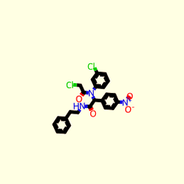 O=C(NCCc1ccccc1)C(c1ccc([N+](=O)[O-])cc1)N(C(=O)CCl)c1cccc(Cl)c1